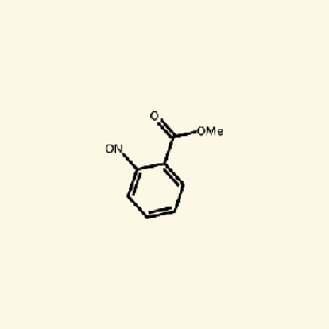 COC(=O)c1ccccc1N=O